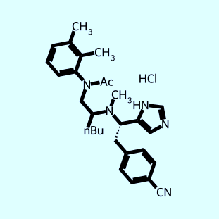 CCCCC(CN(C(C)=O)c1cccc(C)c1C)N(C)[C@@H](Cc1ccc(C#N)cc1)c1cnc[nH]1.Cl